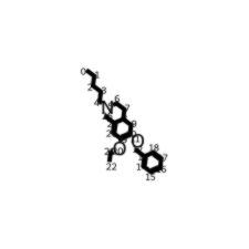 CCCCCN1CCC2CC(OCc3ccccc3)=C(OCC)C=C2C1